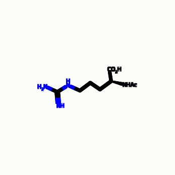 CC(=O)N[C@@H](CCCNC(=N)N)C(=O)O